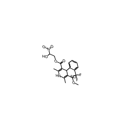 COC(=O)C1=C(C)NC(C)=C(C(=O)OCC(O)[N+](=O)[O-])C1c1ccccc1C(F)(F)F